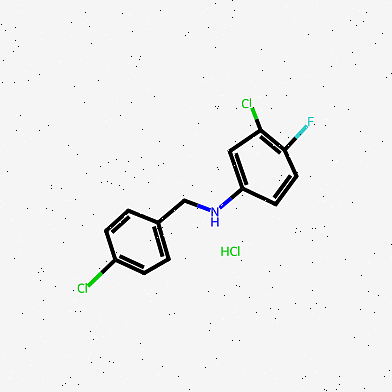 Cl.Fc1ccc(NCc2ccc(Cl)cc2)cc1Cl